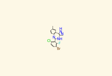 Cc1ccc2c(c1)-c1[nH]ncc1NC(c1c(Cl)ccc(Br)c1F)=N2